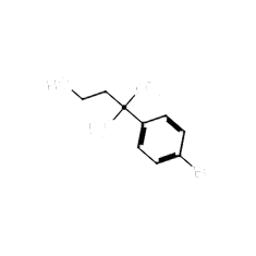 OCCC(c1ccc(Br)cc1)(C(F)(F)F)C(F)(F)F